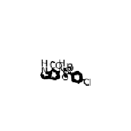 O=C(O)c1c(NS(=O)(=O)c2ccc(Cl)cc2)ccc2cc[nH]c12